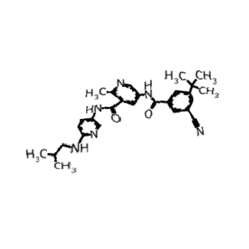 Cc1ncc(NC(=O)c2cc(C#N)cc(C(C)(C)C)c2)cc1C(=O)Nc1ccc(NCC(C)C)nc1